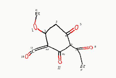 CCOC1CC(=O)C(C(=O)CC)C(=O)C1=C=O